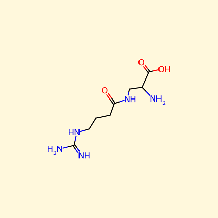 N=C(N)NCCCC(=O)NCC(N)C(=O)O